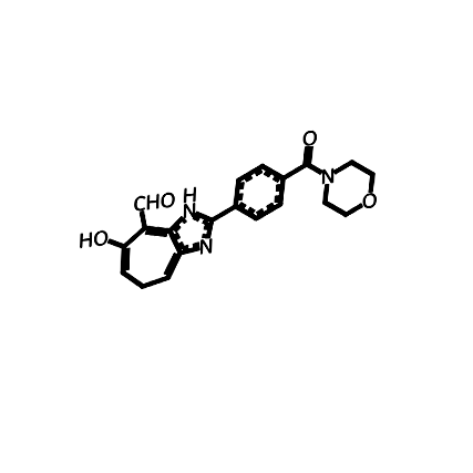 O=CC1=c2[nH]c(-c3ccc(C(=O)N4CCOCC4)cc3)nc2=CCC=C1O